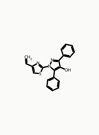 C=Cc1csc(-n2nc(-c3ccccc3)c(O)c2-c2ccccc2)n1